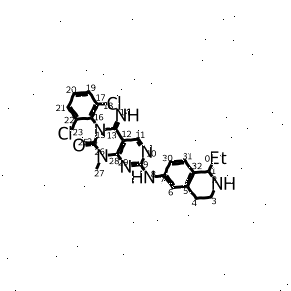 CCC1NCCc2cc(Nc3ncc4c(=N)n(-c5c(Cl)cccc5Cl)c(=O)n(C)c4n3)ccc21